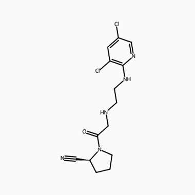 N#C[C@@H]1CCCN1C(=O)CNCCNc1ncc(Cl)cc1Cl